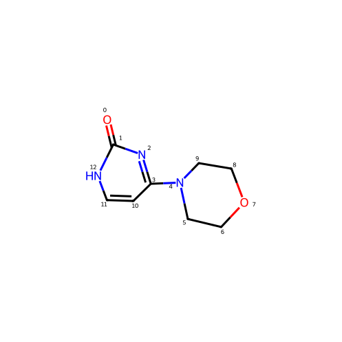 O=c1nc(N2CCOCC2)cc[nH]1